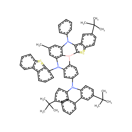 Cc1cc2c3c(c1)N(c1cccc4c1sc1ccccc14)c1cc(N(c4ccc(C(C)(C)C)cc4)c4ccc(C(C)(C)C)cc4-c4ccccc4)ccc1B3c1sc3ccc(C(C)(C)C)cc3c1N2c1ccccc1